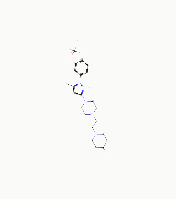 Cc1cc(N2CCN(CCN3CCC(O)CC3)CC2)nn1-c1ccc2c(c1)OC(F)(F)O2